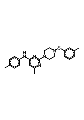 Cc1ccc(Nc2cc(C)nc(N3CCN(Sc4cccc(C)c4)CC3)n2)cc1